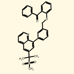 CC(C)(c1cc(-c2cccc(COc3ccccc3C(=O)c3ccccc3)c2)c2ncccc2c1)S(C)(=O)=O